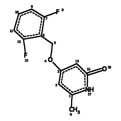 Cc1cc(OCc2c(F)cccc2F)cc(=O)[nH]1